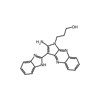 Nc1c(-c2nc3ccccc3[nH]2)c2nc3ccccc3nc2n1CCCO